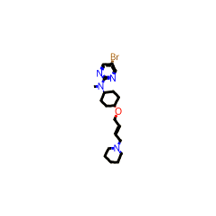 CN(c1ncc(Br)cn1)[C@H]1CC[C@H](OC/C=C/CN2CCCCC2)CC1